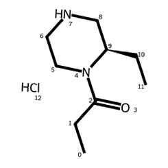 CCC(=O)N1CCNC[C@H]1CC.Cl